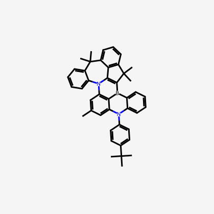 Cc1cc2c3c(c1)N(c1ccc(C(C)(C)C)cc1)c1ccccc1B3C1=C3c4c(cccc4C(C)(C)c4ccccc4N32)C1(C)C